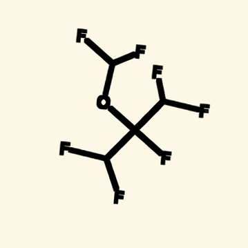 FC(F)OC(F)(C(F)F)C(F)F